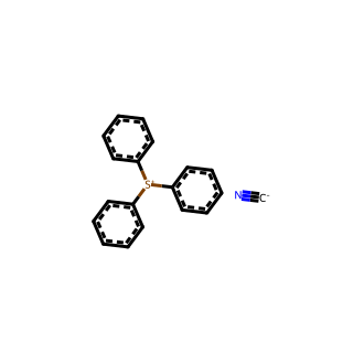 [C-]#N.c1ccc([S+](c2ccccc2)c2ccccc2)cc1